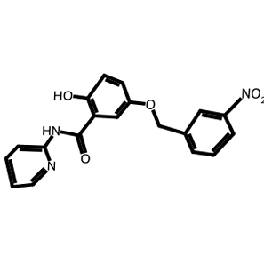 O=C(Nc1ccccn1)c1cc(OCc2cccc([N+](=O)[O-])c2)ccc1O